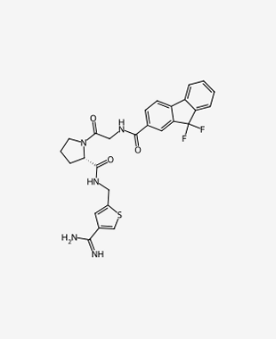 N=C(N)c1csc(CNC(=O)[C@@H]2CCCN2C(=O)CNC(=O)c2ccc3c(c2)C(F)(F)c2ccccc2-3)c1